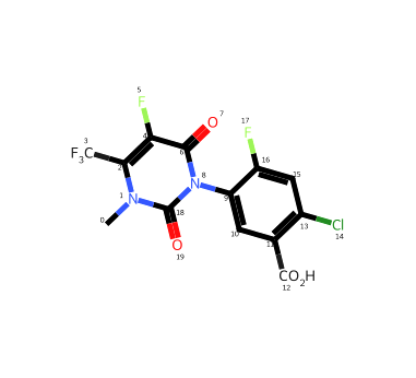 Cn1c(C(F)(F)F)c(F)c(=O)n(-c2cc(C(=O)O)c(Cl)cc2F)c1=O